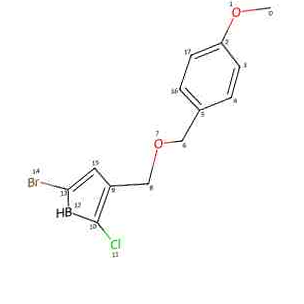 COc1ccc(COCC2=C(Cl)BC(Br)=C2)cc1